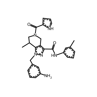 Cc1cccc(NC(=O)c2nn(Cc3cccc(N)c3)c3c2CN(C(=O)c2ccc[nH]2)CC3C)c1